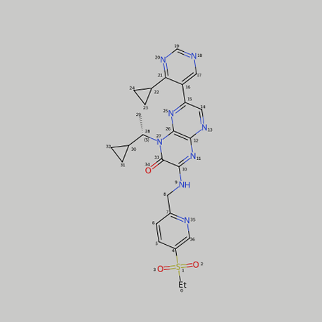 CCS(=O)(=O)c1ccc(CNc2nc3ncc(-c4cncnc4C4CC4)nc3n([C@@H](C)C3CC3)c2=O)nc1